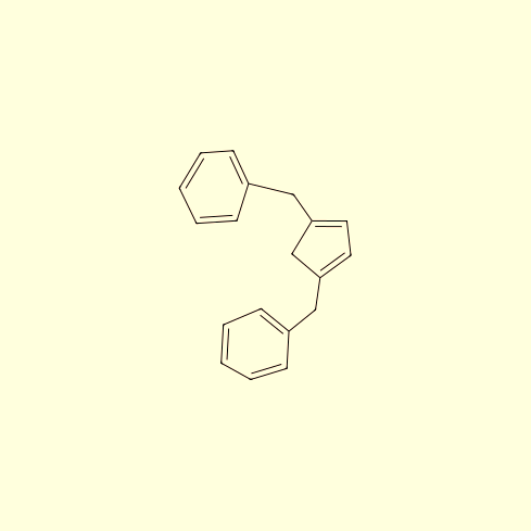 C1=C(Cc2ccccc2)CC(Cc2ccccc2)=C1